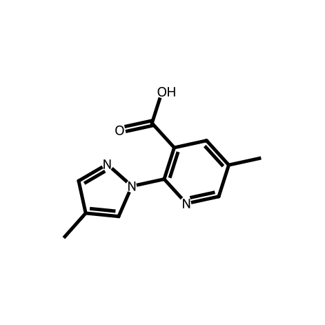 Cc1cnc(-n2cc(C)cn2)c(C(=O)O)c1